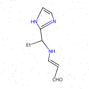 CCC(NC=CC=O)c1ncc[nH]1